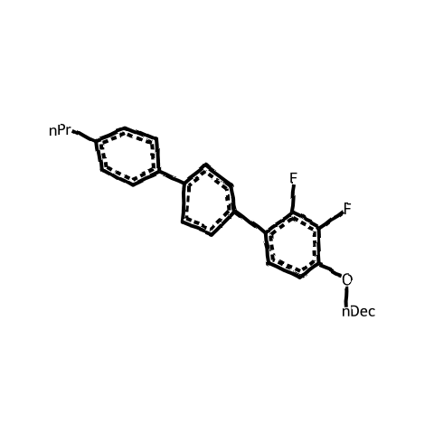 CCCCCCCCCCOc1ccc(-c2ccc(-c3ccc(CCC)cc3)cc2)c(F)c1F